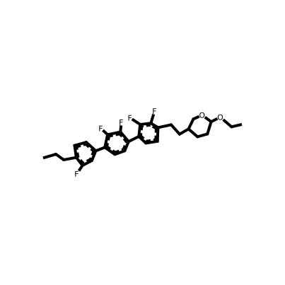 CCCc1ccc(-c2ccc(-c3ccc(CCC4CCC(OCC)OC4)c(F)c3F)c(F)c2F)cc1F